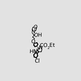 CCOC(=O)N1CCc2c([nH]c3ccc(Cl)cc23)[C@@H]1c1ccc(OCCC(O)CN2CCOCC2)cc1